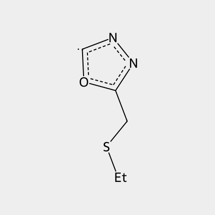 CCSCc1nn[c]o1